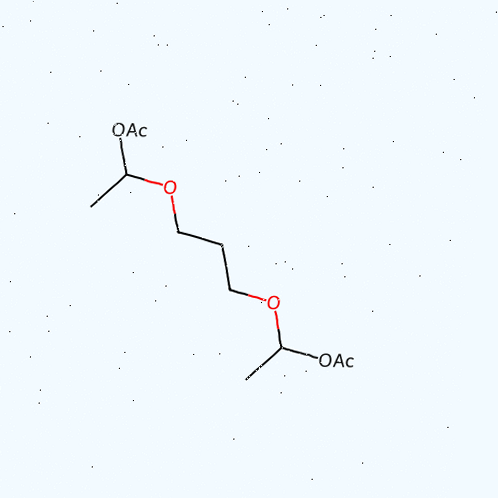 CC(=O)OC(C)OCCCOC(C)OC(C)=O